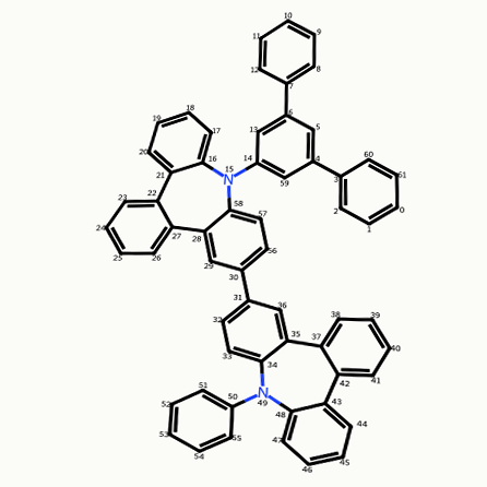 c1ccc(-c2cc(-c3ccccc3)cc(N3c4ccccc4-c4ccccc4-c4cc(-c5ccc6c(c5)-c5ccccc5-c5ccccc5N6c5ccccc5)ccc43)c2)cc1